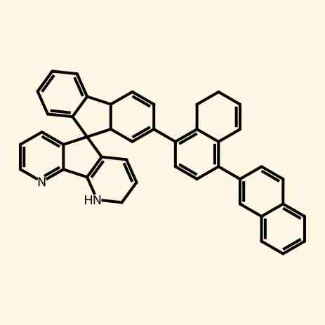 C1=Cc2c(-c3ccc4ccccc4c3)ccc(C3=CC4C(C=C3)c3ccccc3C43C4=C(NCC=C4)c4ncccc43)c2CC1